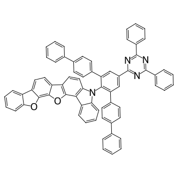 c1ccc(-c2ccc(-c3cc(-c4nc(-c5ccccc5)nc(-c5ccccc5)n4)cc(-c4ccc(-c5ccccc5)cc4)c3-n3c4ccccc4c4c5oc6c(ccc7c8ccccc8oc76)c5ccc43)cc2)cc1